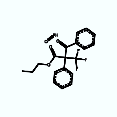 CCCOC(=O)C(C(=O)c1ccccc1)(c1ccccc1)C(F)(F)F.O=P